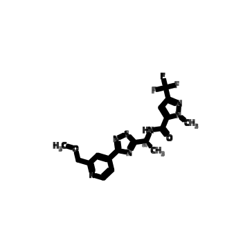 COCc1cc(-c2nsc([C@H](C)NC(=O)c3cc(C(F)(F)F)nn3C)n2)ccn1